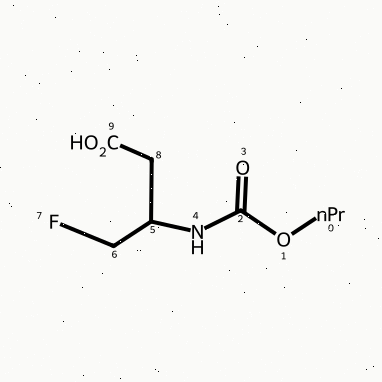 CCCOC(=O)NC(CF)CC(=O)O